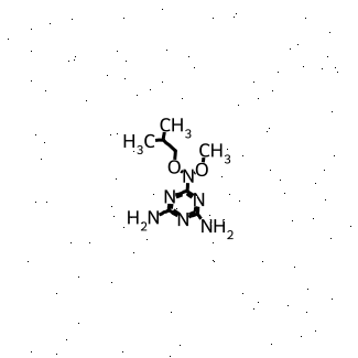 CON(OCC(C)C)c1nc(N)nc(N)n1